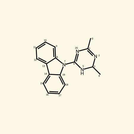 CC1=NC(C)NC(n2c3ccccc3c3ccccc32)=N1